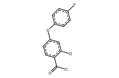 O=C(Cl)c1ccc(Oc2ccc(F)cc2)cc1Cl